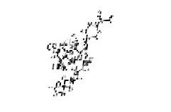 C=CC(=O)N1CCC(n2nc(N3CC[C@@H](CN4CC5(CCCO5)C4)CC3(C)C)c(-c3c(Cl)c(Cl)cc4[nH]ncc34)c2C)CC1